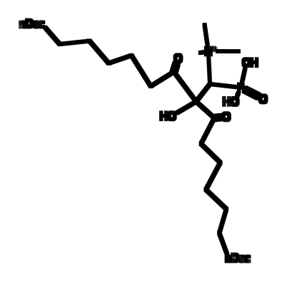 CCCCCCCCCCCCCCCC(=O)C(O)(C(=O)CCCCCCCCCCCCCCC)C([N+](C)(C)C)P(=O)(O)O